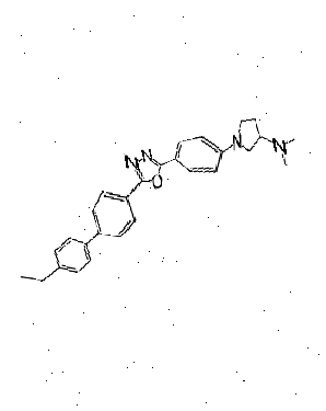 CCc1ccc(-c2ccc(-c3nnc(-c4ccc(N5CCC(N(C)C)C5)cc4)o3)cc2)cc1